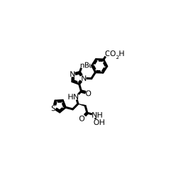 CCCCc1ncc(C(=O)N[C@@H](CC(=O)NO)Cc2ccsc2)n1Cc1ccc(C(=O)O)cc1